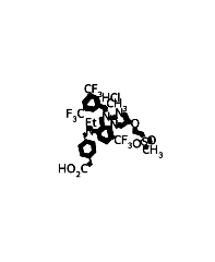 CCN(C[C@H]1CC[C@H](CC(=O)O)CC1)c1ccc(C(F)(F)F)cc1CN(c1ncc(OCCS(C)(=O)=O)cn1)C(C)c1cc(C(F)(F)F)cc(C(F)(F)F)c1.Cl